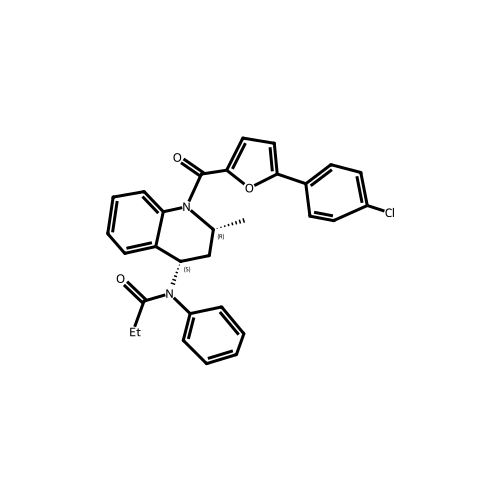 CCC(=O)N(c1ccccc1)[C@H]1C[C@@H](C)N(C(=O)c2ccc(-c3ccc(Cl)cc3)o2)c2ccccc21